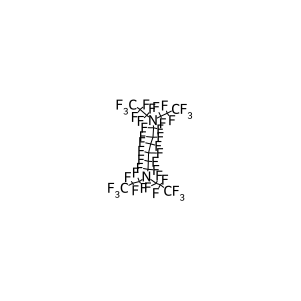 FC(F)(F)C(F)(F)C(F)(F)N(C(F)(F)C(F)(F)C(F)(F)F)C(F)(F)C(F)(F)C(F)(F)C(F)(F)C(F)(F)C(F)(F)N(C(F)(F)C(F)(F)C(F)(F)F)C(F)(F)C(F)(F)C(F)(F)F